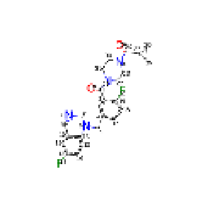 O=C(c1cc(CN2CN=Cc3cc(F)ccc32)ccc1F)N1CCN(C(=O)C2CC2)CC1